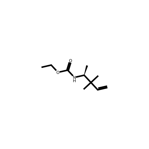 C=CC(C)(C)[C@H](C)NC(=O)OCC